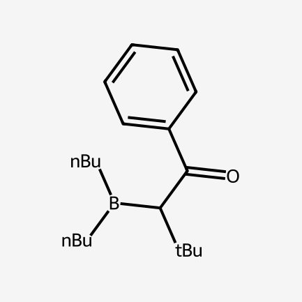 CCCCB(CCCC)C(C(=O)c1ccccc1)C(C)(C)C